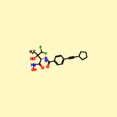 CC(O)(C(F)F)[C@H](NC(=O)c1ccc(C#CC2CCCC2)cc1)C(=O)NO